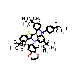 Cc1cc2c(c(C)c1N1c3cc(C(C)(C)C)cc4c3B(c3cc(C(C)(C)C)ccc3N4c3ccc(C(C)(C)C)cc3)c3sc4ccc(C(C)(C)C)cc4c31)OCCCO2